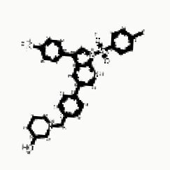 Cc1ccc(S(=O)(=O)n2cc(-c3ccc(C(F)(F)F)cc3)c3cc(-c4ccc(CN5CCCC(O)C5)cc4)cnc32)cc1